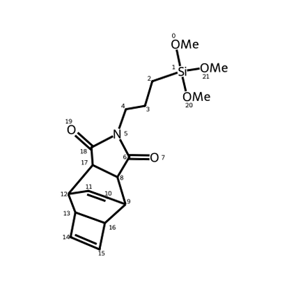 CO[Si](CCCN1C(=O)C2C3C=CC(C4C=CC43)C2C1=O)(OC)OC